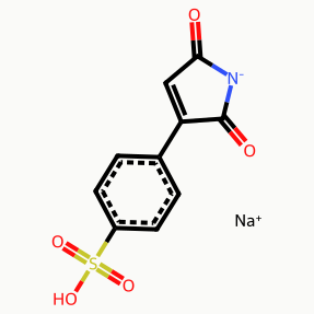 O=C1C=C(c2ccc(S(=O)(=O)O)cc2)C(=O)[N-]1.[Na+]